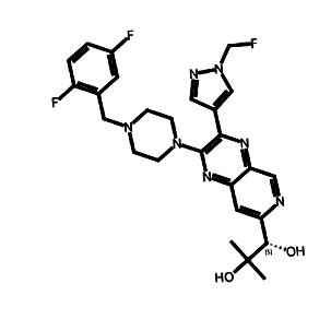 CC(C)(O)[C@@H](O)c1cc2nc(N3CCN(Cc4cc(F)ccc4F)CC3)c(-c3cnn(CF)c3)nc2cn1